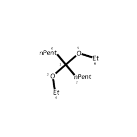 CCCCCC(CCCCC)(OCC)OCC